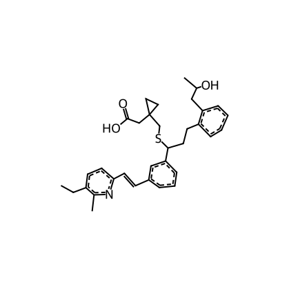 CCc1ccc(C=Cc2cccc(C(CCc3ccccc3CC(C)O)SCC3(CC(=O)O)CC3)c2)nc1C